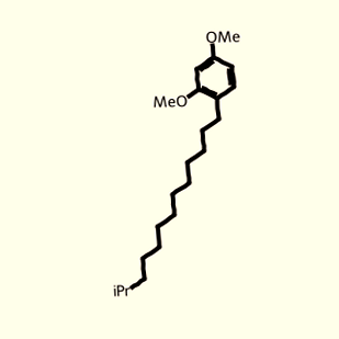 COc1ccc(CCCCCCCCCCCC(C)C)c(OC)c1